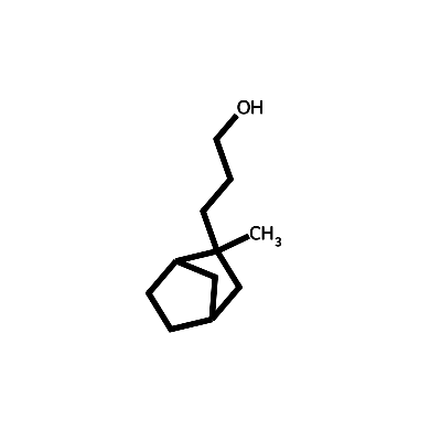 CC1(CCCO)CC2CCC1C2